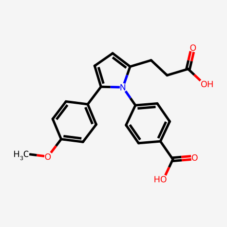 COc1ccc(-c2ccc(CCC(=O)O)n2-c2ccc(C(=O)O)cc2)cc1